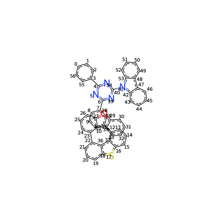 c1ccc(-c2nc(-c3cccc(-c4cccc5sc6cccc(-c7cccc8oc9ccccc9c78)c6c45)c3)nc(-n3c4ccccc4c4ccccc43)n2)cc1